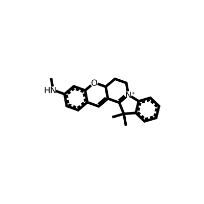 CNc1ccc2c(c1)OC1CC[N+]3=C(C1=C2)C(C)(C)c1ccccc13